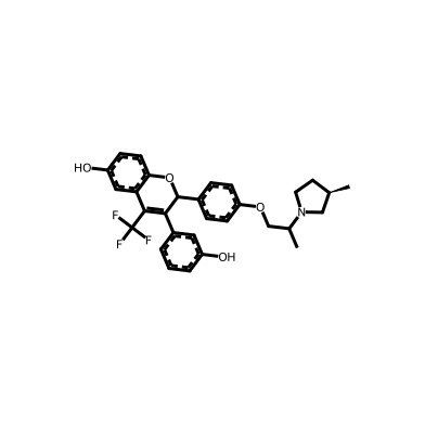 CC(COc1ccc(C2Oc3ccc(O)cc3C(C(F)(F)F)=C2c2cccc(O)c2)cc1)N1CC[C@@H](C)C1